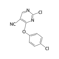 N#Cc1cnc(Cl)nc1Oc1ccc(Cl)cc1